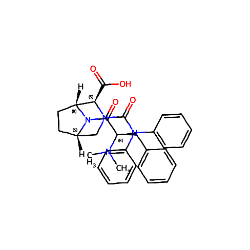 CN(C)[C@H](Cc1ccccc1)C(=O)N1[C@H]2CC[C@@H]1[C@@H](C(=O)O)N(C(=O)N(c1ccccc1)c1ccccc1)C2